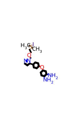 CS(C)(I)CCOCn1nccc1-c1ccc(Oc2ccc(N)c(N)c2)cc1